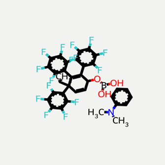 C=CC1(c2c(F)c(F)c(F)c(F)c2F)C=CC(OB(O)O)C(c2c(F)c(F)c(F)c(F)c2F)=C1c1c(F)c(F)c(F)c(F)c1F.CN(C)c1ccccc1